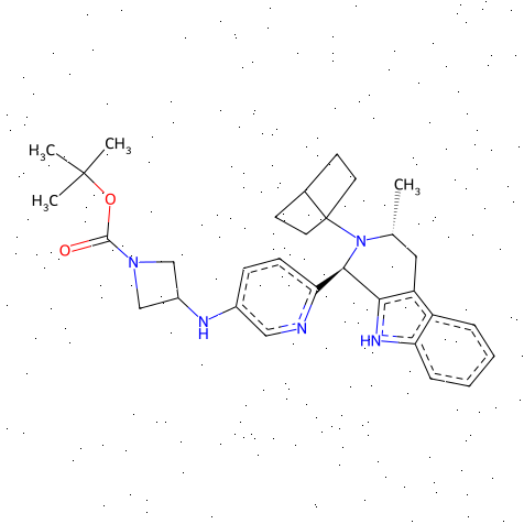 C[C@@H]1Cc2c([nH]c3ccccc23)[C@@H](c2ccc(NC3CN(C(=O)OC(C)(C)C)C3)cn2)N1C12CCC1CC2